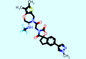 Cc1sc2c(c1C)OC[C@@H](NC(F)(F)F)N(C(=O)CN1C(=O)OC3(CCc4cc(-c5cnn(C)c5)ccc43)C1=O)C2